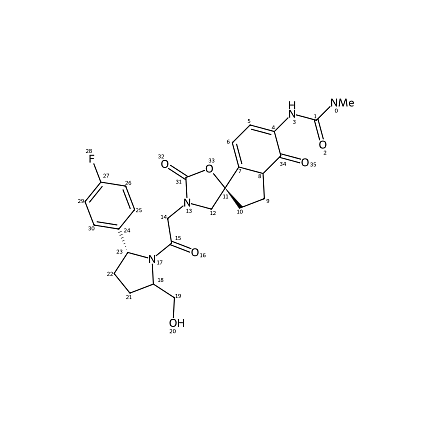 CNC(=O)NC1=CC=C2C(CC[C@]23CN(CC(=O)N2C(CO)CC[C@@H]2c2ccc(F)cc2)C(=O)O3)C1=O